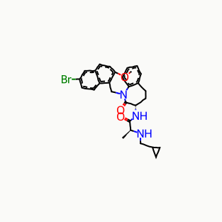 COc1ccc2cc(Br)ccc2c1CN1C(=O)[C@@H](NC(=O)[C@H](C)NCC2CC2)CCc2ccccc21